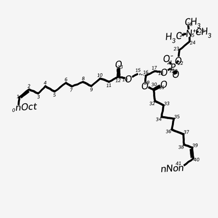 CCCCCCCC/C=C\CCCCCCCCCC(=O)OC[C@H](COP(=O)([O-])OCC[N+](C)(C)C)OC(=O)CCCCCCC/C=C\CCCCCCCCC